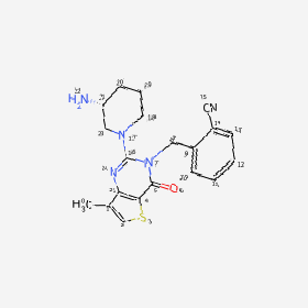 Cc1csc2c(=O)n(Cc3ccccc3C#N)c(N3CCC[C@@H](N)C3)nc12